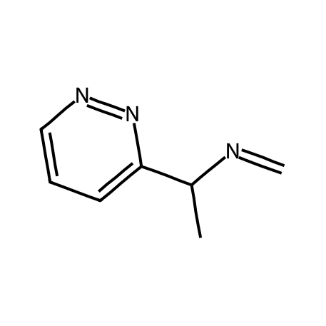 C=NC(C)c1cccnn1